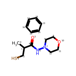 CC(CS)C(=O)NN1CCOCC1.c1ccccc1